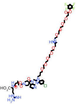 CC(C)(CC(=O)N[C@@H](CCCNC(=N)N)C(=O)O)OC(=O)N1CCC2(CC1)C(=O)N(Cc1nc3cc(Cl)ccc3n1CCCCOCCOCCOCCOCCOCc1cn(CCOCCOCCOCCOCCC(=O)Oc3c(F)c(F)cc(F)c3F)[nH]1)c1cnccc12